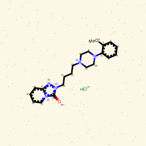 COc1ccccc1N1CCN(CCCCn2nc3ccccn3c2=O)CC1.Cl